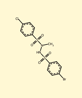 CN(NS(=O)(=O)c1ccc(Br)cc1)S(=O)(=O)c1ccc(Cl)cc1